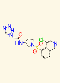 O=C(Cn1cnnn1)N[C@H]1CCN(S(=O)(=O)c2cccc3cncc(Cl)c23)C1